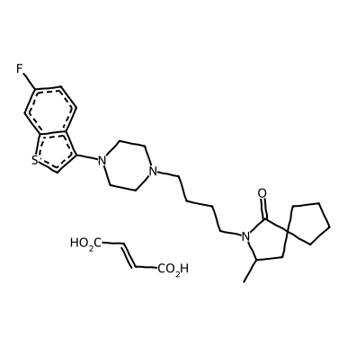 CC1CC2(CCCC2)C(=O)N1CCCCN1CCN(c2csc3cc(F)ccc23)CC1.O=C(O)C=CC(=O)O